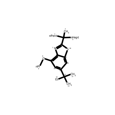 CCCCCCCC(C)(CCCCC)c1nc2c(OCCC)cc(C(C)(C)CC)cc2s1